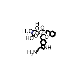 NCCc1c[nH]c2ccc(CC3OC(=O)N(Cc4ccccc4)C3=O)cc12.O.O=C(O)/C=C\C(=O)O